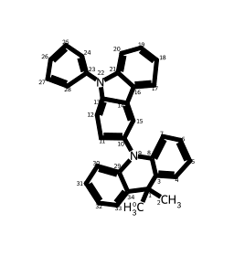 CC1(C)c2ccccc2N(c2ccc3c(c2)c2ccccc2n3-c2ccccc2)c2ccccc21